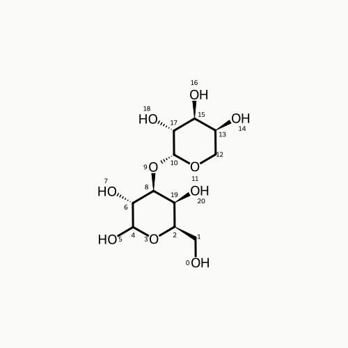 OC[C@H]1OC(O)[C@H](O)[C@@H](O[C@H]2OC[C@H](O)[C@H](O)[C@H]2O)[C@H]1O